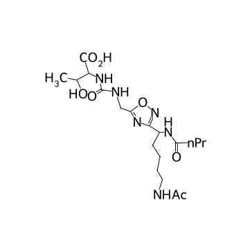 CCCC(=O)NC(CCCCNC(C)=O)c1noc(CNC(=O)NC(C(=O)O)C(C)O)n1